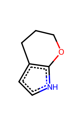 c1cc2c([nH]1)OCCC2